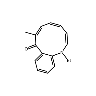 CCn1cccccc(C)c(=O)c2ccccc21